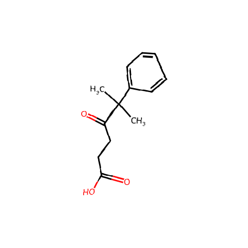 CC(C)(C(=O)CCC(=O)O)c1ccccc1